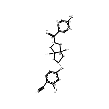 N#Cc1ccc(O[C@@H]2C[C@@H]3CN(C(=O)c4cnc(Cl)cn4)C[C@@H]3C2)cc1Cl